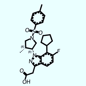 Cc1ccc(S(=O)(=O)N2C[C@@H](C)[C@@H](n3nc(CC(=O)O)c4ccc(F)c(C5CCCC5)c43)C2)cc1